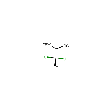 C[CH]CCC(OC)C(C)(Cl)Cl